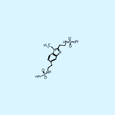 CCCS(=O)(=O)NCCc1ccc2c(c1)nc(CCNS(=O)(=O)CCC)n2C